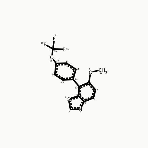 COc1ccc2ncsc2c1-c1ccc(OC(F)(F)F)cc1